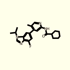 Cc1cnc(NC(=O)C2CCCCC2)cc1-c1cc(F)c2ncn(C(C)C)c2c1